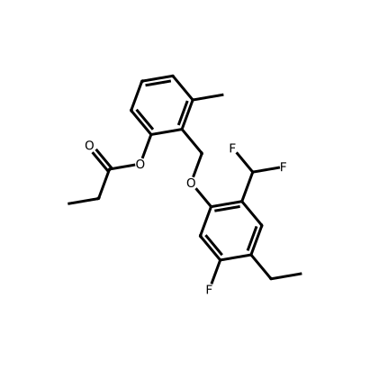 CCC(=O)Oc1cccc(C)c1COc1cc(F)c(CC)cc1C(F)F